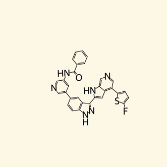 O=C(Nc1cncc(-c2ccc3[nH]nc(-c4cc5c(-c6ccc(F)s6)cncc5[nH]4)c3c2)c1)c1ccccc1